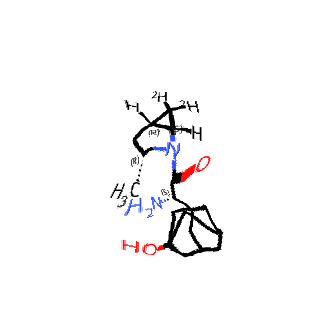 [2H]C1([2H])[C@H]2C[C@@H](C)N(C(=O)[C@@H](N)C34CC5CC(CC(O)(C5)C3)C4)[C@H]21